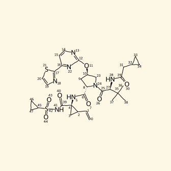 C=CC1C[C@]1(NC(=O)[C@@H]1C[C@@H](Oc2nccc(-c3nccs3)n2)CN1C(=O)[C@@H](NC(=O)CC1CC1)C(C)(C)C)C(=O)NS(=O)(=O)C1CC1